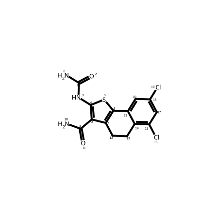 NC(=O)Nc1sc2c(c1C(N)=O)CCc1c(Cl)cc(Cl)cc1-2